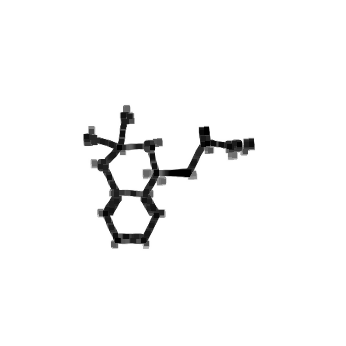 CCC1(CC)Oc2ccccc2[C@H](CNS(=O)(=O)O)O1